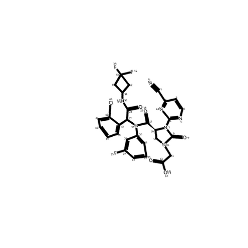 N#Cc1ccnc(N2C(=O)N(CC(=O)O)C[C@H]2C(=O)N(c2cccc(F)c2)C(C(=O)NC2CC(F)(F)C2)c2ccccc2Cl)n1